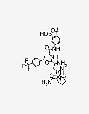 CC1(C)OB(O)c2cc(NC(=O)[C@@H](CCc3ccc(C(F)(F)F)cc3)NC(=O)[C@@H](N)CCC(=O)N3C4CCC3[C@H](CN)[C@@H]4CN)ccc21